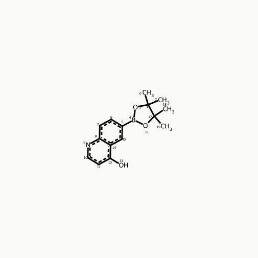 CC1(C)OB(c2ccc3nccc(O)c3c2)OC1(C)C